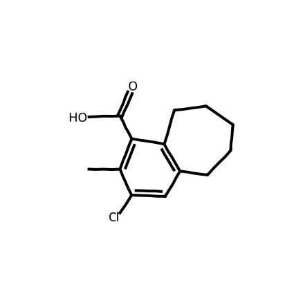 Cc1c(Cl)cc2c(c1C(=O)O)CCCCC2